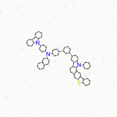 c1ccc(-n2c3ccc(-c4cccc(-c5ccc(N(c6ccc(-n7c8ccccc8c8ccccc87)cc6)c6ccc7ccccc7c6)cc5)c4)cc3c3ccc4cc5sc6ccccc6c5cc4c32)cc1